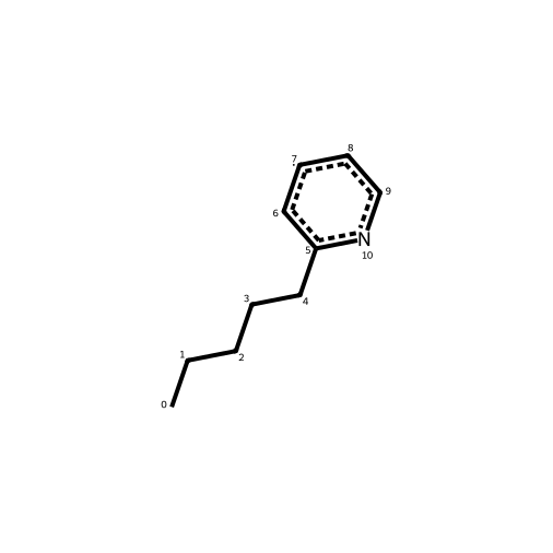 CCCCCc1c[c]ccn1